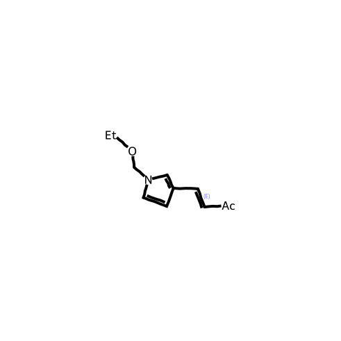 CCOCn1ccc(/C=C/C(C)=O)c1